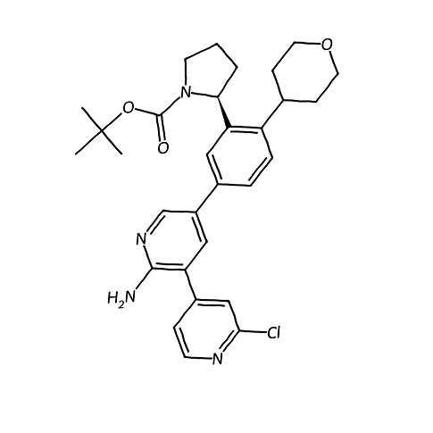 CC(C)(C)OC(=O)N1CCC[C@H]1c1cc(-c2cnc(N)c(-c3ccnc(Cl)c3)c2)ccc1C1CCOCC1